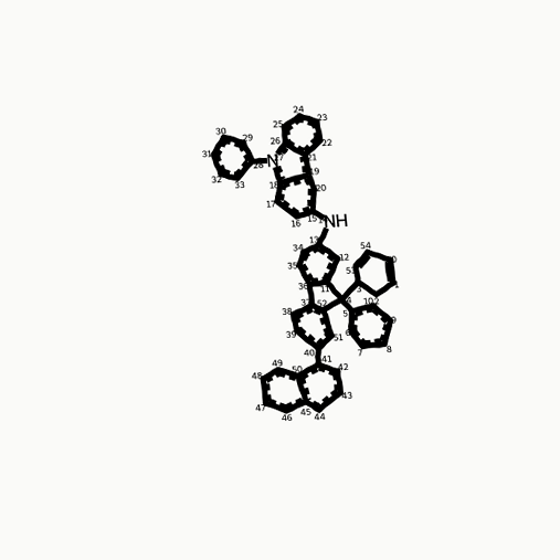 C1=CCC(C2(c3ccccc3)c3cc(Nc4ccc5c(c4)c4ccccc4n5-c4ccccc4)ccc3-c3ccc(-c4cccc5ccccc45)cc32)C=C1